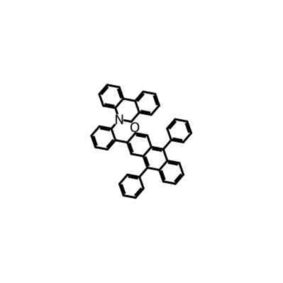 O=c1c2ccccc2c2ccccc2n1-c1ccccc1-c1ccc2c(-c3ccccc3)c3ccccc3c(-c3ccccc3)c2c1